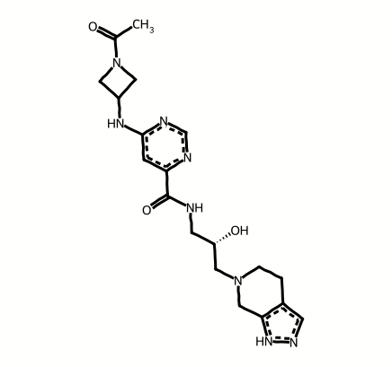 CC(=O)N1CC(Nc2cc(C(=O)NC[C@H](O)CN3CCc4cn[nH]c4C3)ncn2)C1